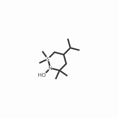 CC(C)C1CC(C)(C)N(O)S(C)(C)C1